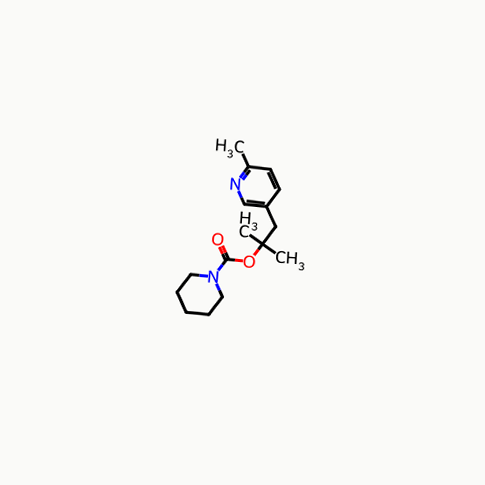 Cc1ccc(CC(C)(C)OC(=O)N2CCCCC2)cn1